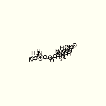 C[C@@H]1C[C@H]2[C@@H]3CCC4=CC(=O)C=C[C@]4(C)[C@@]3(F)[C@@H](O)C[C@]2(C)[C@@]1(O)C(=O)COC(=O)c1ccc(C(=O)OCc2ccc([C@@H](CN)C(=O)Nc3ccc4cnccc4c3)cc2)cc1